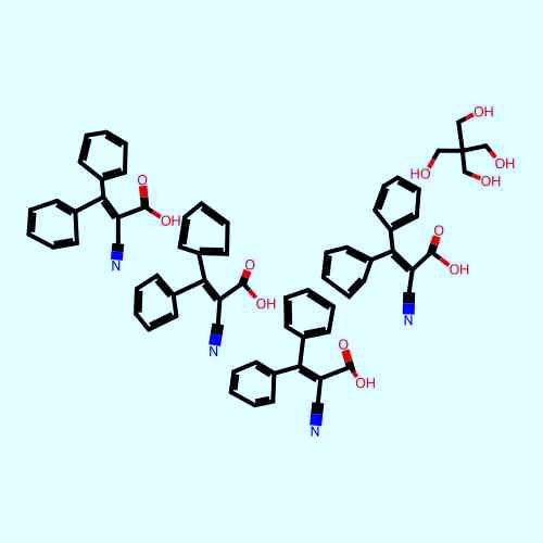 N#CC(C(=O)O)=C(c1ccccc1)c1ccccc1.N#CC(C(=O)O)=C(c1ccccc1)c1ccccc1.N#CC(C(=O)O)=C(c1ccccc1)c1ccccc1.N#CC(C(=O)O)=C(c1ccccc1)c1ccccc1.OCC(CO)(CO)CO